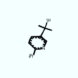 CC(C)c1ccc(C(C)(C)S)cn1